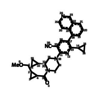 COCC1CC1C(=O)N1CCN(c2nc(C3CC3)c(-c3cccc4cnccc34)cc2C#N)C[C@H]1C1CC1